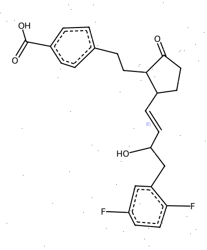 O=C(O)c1ccc(CCC2C(=O)CCC2/C=C/C(O)Cc2cc(F)ccc2F)cc1